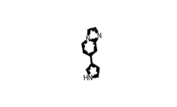 c1cn2ccc(-c3cc[nH]c3)cc2n1